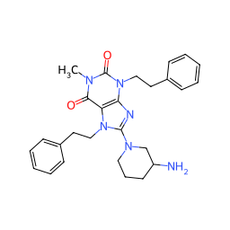 Cn1c(=O)c2c(nc(N3CCCC(N)C3)n2CCc2ccccc2)n(CCc2ccccc2)c1=O